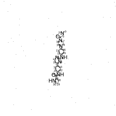 CN(C)CC(=O)N1CCN(c2ccc(Nc3nccc(-c4ccc(NC(=O)[C@H]5CCCN5)cc4)n3)cc2)CC1